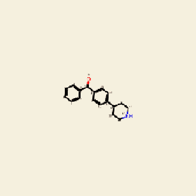 O=C(c1ccccc1)c1ccc(C2CCNCC2)cc1